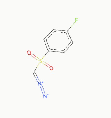 [N-]=[N+]=CS(=O)(=O)c1ccc(F)cc1